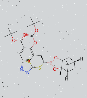 CC(C)(C)OC(=O)Oc1c(C[C@H](Sc2nncs2)B2OC3C[C@@H]4C[C@@H](C4(C)C)[C@]3(C)O2)cccc1C(=O)OC(C)(C)C